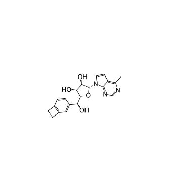 Cc1ncnc2c1ccn2[C@@H]1O[C@H]([C@@H](O)c2ccc3c(c2)CC3)[C@@H](O)[C@H]1O